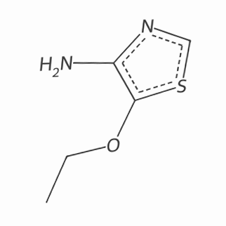 CCOc1scnc1N